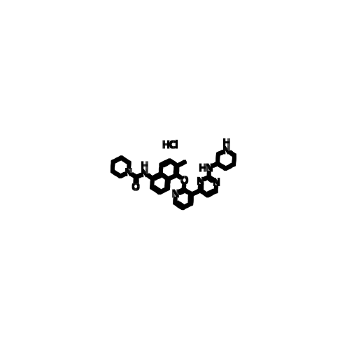 Cc1ccc2c(NC(=O)N3CCCCC3)cccc2c1Oc1ncccc1-c1ccnc(NC2CCCNC2)n1.Cl